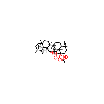 CC(=O)OC1CC(C)(C)[C@@H]2CC[C@]3(C)[C@H](CC[C@@H]4[C@@H]5[C@@H](C)[C@H](C)CC[C@]5(C)CC[C@]43C)[C@@]2(C)C1(O)C(=O)O